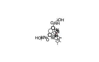 C=C(CN[C@H](C)CC1(c2nnn[nH]2)c2ccc(C(=O)NCC(C)(C)O)cc2CCc2cc(C(=O)NCC(C)(C)O)ccc21)N1C(C#N)C[C@H](C)C1C